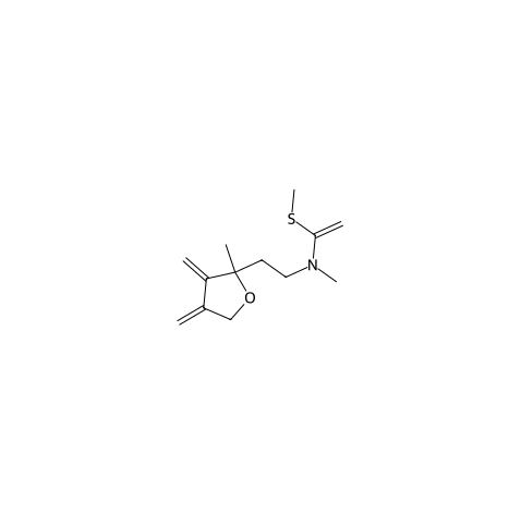 C=C1COC(C)(CCN(C)C(=C)SC)C1=C